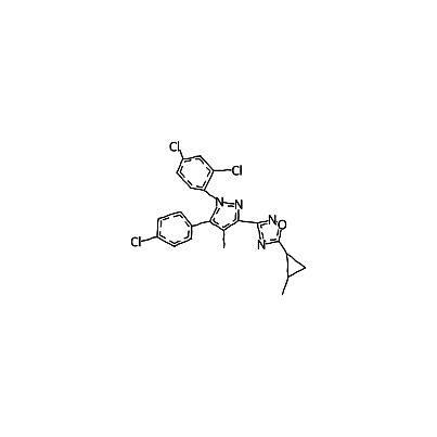 Cc1c(-c2noc(C3CC3C)n2)nn(-c2ccc(Cl)cc2Cl)c1-c1ccc(Cl)cc1